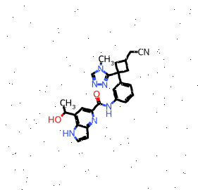 CC(O)c1cc(C(=O)Nc2cccc(C3(c4nncn4C)CC(CC#N)C3)c2)nc2cc[nH]c12